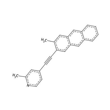 Cc1cc(C#Cc2cc3cc4ccccc4cc3cc2C)ccn1